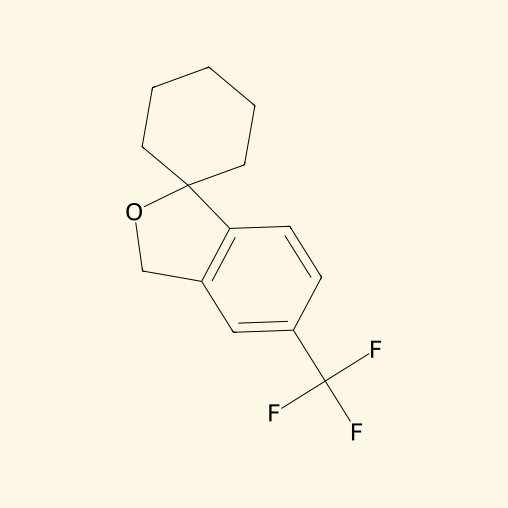 FC(F)(F)c1ccc2c(c1)COC21CCCCC1